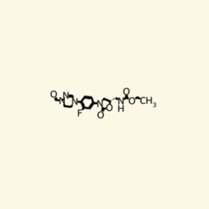 CCOC(=O)NC[C@H]1CN(c2ccc(N3C=NN(C=O)CC3)c(F)c2)C(=O)O1